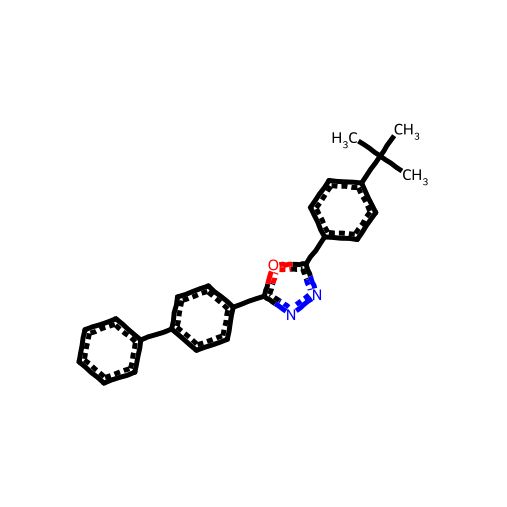 CC(C)(C)c1ccc(-c2nnc(-c3ccc(-c4ccccc4)cc3)o2)cc1